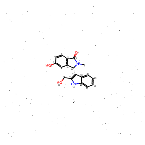 CN1C(=O)c2ccc(O)cc2[C@H]1c1c(CO)[nH]c2ccccc12